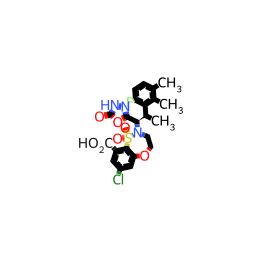 Cc1ccc(F)c(C(C)[C@@H](c2n[nH]c(=O)o2)N2CCOc3cc(Cl)cc(C(=O)O)c3S2(=O)=O)c1C